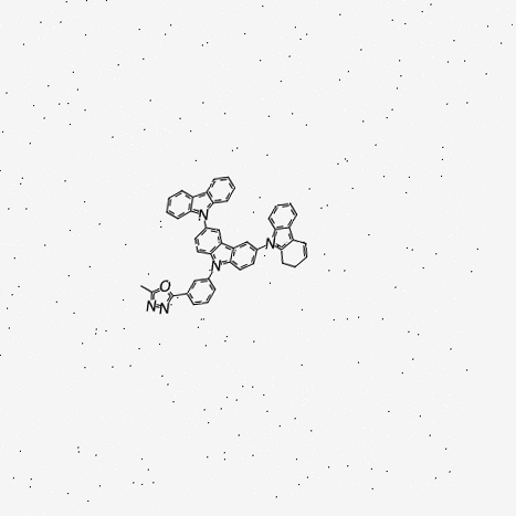 Cc1nnc(-c2cccc(-n3c4ccc(-n5c6c(c7ccccc75)C=CCC6)cc4c4cc(-n5c6ccccc6c6ccccc65)ccc43)c2)o1